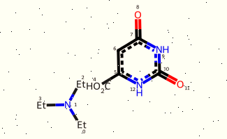 CCN(CC)CC.O=C(O)c1cc(=O)[nH]c(=O)[nH]1